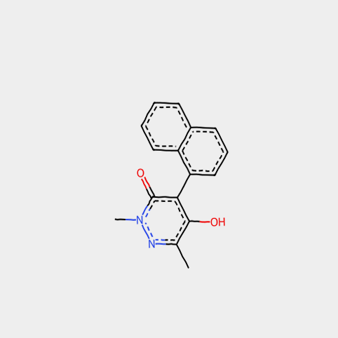 Cc1nn(C)c(=O)c(-c2cccc3ccccc23)c1O